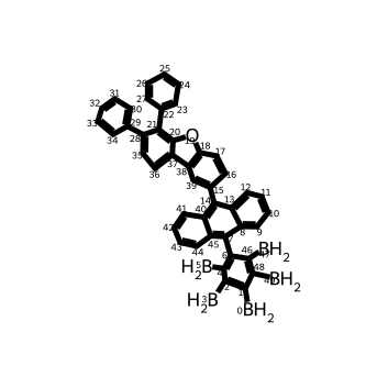 Bc1c(B)c(B)c(-c2c3ccccc3c(-c3ccc4oc5c(-c6ccccc6)c(-c6ccccc6)ccc5c4c3)c3ccccc23)c(B)c1B